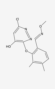 CON=Cc1ccc(C)c(C)c1Oc1nnc(Cl)cc1O